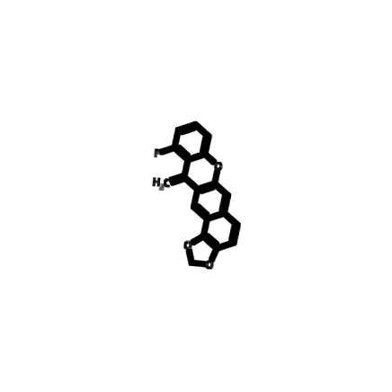 C=C1c2cc3c4c(ccc3cc2Oc2cccc(F)c21)OCO4